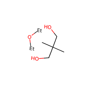 CC(C)(CO)CO.CCOCC